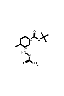 CC1CC[C@@H](C(=O)OC(C)(C)C)C[C@@H]1NNC(N)=O